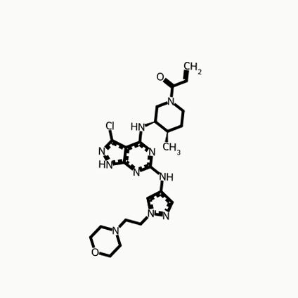 C=CC(=O)N1CC[C@@H](C)[C@@H](Nc2nc(Nc3cnn(CCN4CCOCC4)c3)nc3[nH]nc(Cl)c23)C1